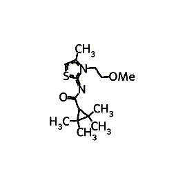 COCCn1c(C)csc1=NC(=O)C1C(C)(C)C1(C)C